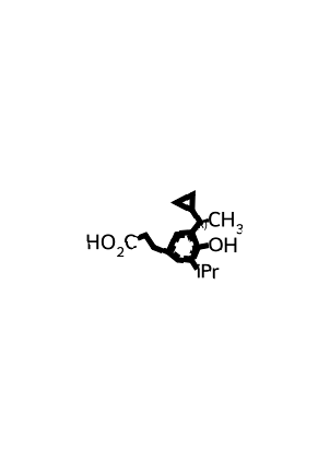 CC(C)c1cc(CCC(=O)O)cc([C@H](C)C2CC2)c1O